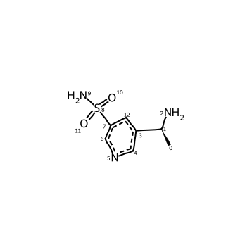 C[C@H](N)c1cncc(S(N)(=O)=O)c1